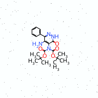 CC(C)(C)OC(=O)N(C(=O)OC(C)(C)C)c1c(N)c(-c2ccccc2)n[nH]c1=O